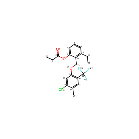 CCC(=O)Oc1cccc(CC)c1COc1cc(Cl)c(C)cc1C(F)(F)F